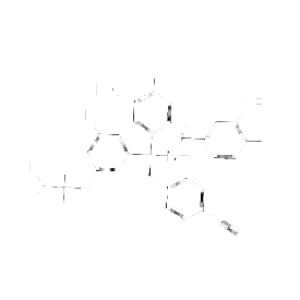 C#Cc1ccc(C[C@@](NC(=O)c2ccc(F)c(C(F)(F)F)c2)(c2cc(F)cc(OC(F)(F)C(F)F)c2)c2ccc(F)c(C(F)(F)F)c2)cc1